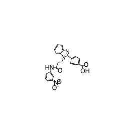 O=C(CCn1c(-c2ccc(C(=O)O)cc2)nc2ccccc21)Nc1cccc([N+](=O)[O-])c1